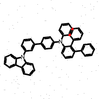 c1ccc(-c2cccc(N(c3ccccc3)c3ccc(-c4cccc(-n5c6ccccc6c6ccccc65)c4)cc3)c2-c2ccccc2)cc1